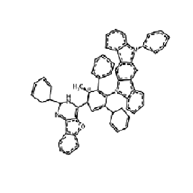 C[C@H]1C(c2ccccc2)=C(n2c3ccccc3c3cc4c(cc32)c2ccccc2n4-c2ccccc2)C(C2C=CC=CC2)=CC1C1=c2oc3ccccc3c2=NC(C2C=CC=CC2)N1